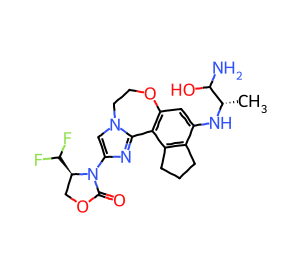 C[C@H](Nc1cc2c(c3c1CCC3)-c1nc(N3C(=O)OC[C@H]3C(F)F)cn1CCO2)C(N)O